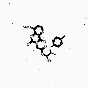 COc1ccnc2c(=O)n([C@@H](C)C(=O)OC(C(C)C)[C@H](C)Oc3ccc(C)cc3)c(=O)oc12